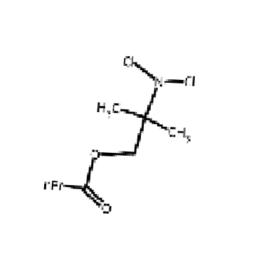 CCCC(=O)OCC(C)(C)N(Cl)Cl